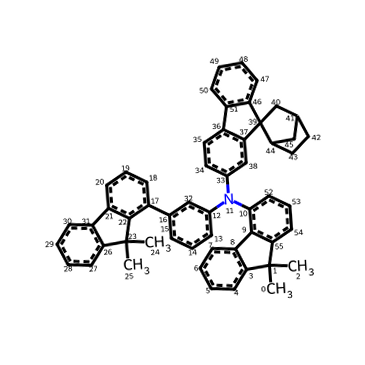 CC1(C)c2ccccc2-c2c(N(c3cccc(-c4cccc5c4C(C)(C)c4ccccc4-5)c3)c3ccc4c(c3)C3(CC5CCC3C5)c3ccccc3-4)cccc21